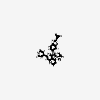 CC(C)S(=O)(=O)c1ccnc2cc(-c3ccncc3)nc(Nc3ccc4nc(C5CC5)sc4c3)c12